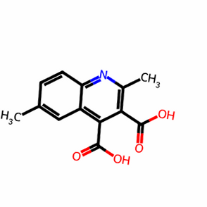 Cc1ccc2nc(C)c(C(=O)O)c(C(=O)O)c2c1